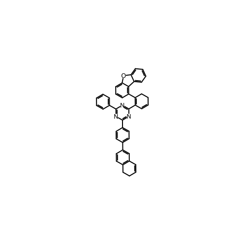 C1=CC(c2nc(-c3ccccc3)nc(-c3ccc(-c4ccc5c(c4)C=CCC5)cc3)n2)=C(c2cccc3oc4ccccc4c23)CC1